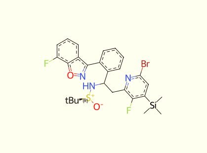 CC(C)(C)[S@+]([O-])NC(Cc1nc(Br)cc([Si](C)(C)C)c1F)c1ccccc1-c1noc2c(F)cccc12